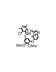 COc1cc(CNc2nc(C)nc(C)c2Cl)cc(Oc2ccc3ncc([N+](=O)[O-])n3n2)c1OC